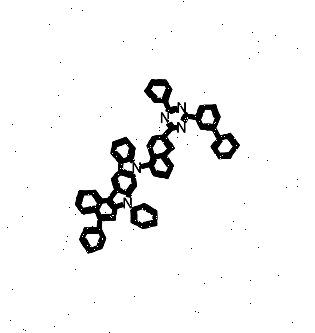 c1ccc(-c2cccc(-c3nc(-c4ccccc4)nc(-c4ccc5c(-n6c7ccccc7c7cc8c9c%10ccccc%10c(-c%10ccccc%10)cc9n(-c9ccccc9)c8cc76)cccc5c4)n3)c2)cc1